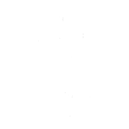 [2H]C([2H])(O)C#C[Si](C)(C)C